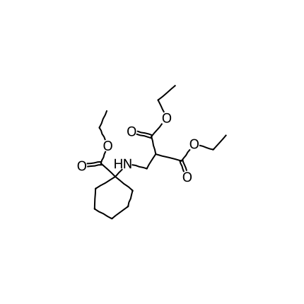 CCOC(=O)C(CNC1(C(=O)OCC)CCCCC1)C(=O)OCC